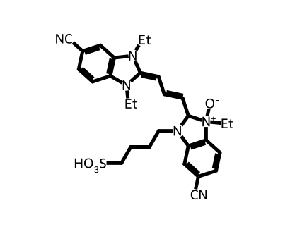 CCN1C(=CC=CC2N(CCCCS(=O)(=O)O)c3cc(C#N)ccc3[N+]2([O-])CC)N(CC)c2cc(C#N)ccc21